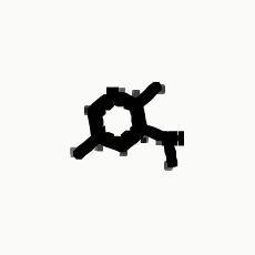 CNc1cc(C)cnc1C